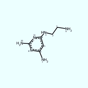 NCCNc1cc(N)nc(N)n1